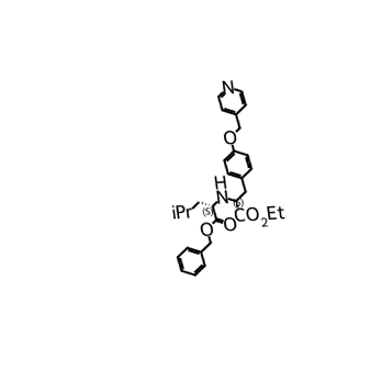 CCOC(=O)[C@H](Cc1ccc(OCc2ccncc2)cc1)N[C@@H](CC(C)C)C(=O)OCc1ccccc1